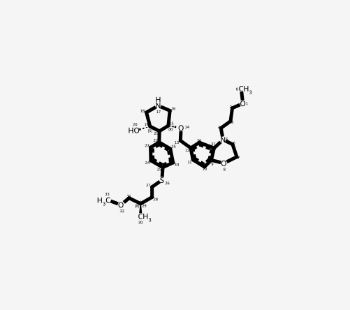 COCCCN1CCOc2ccc(CO[C@H]3CNC[C@@H](O)C3c3ccc(SCC[C@@H](C)COC)cc3)cc21